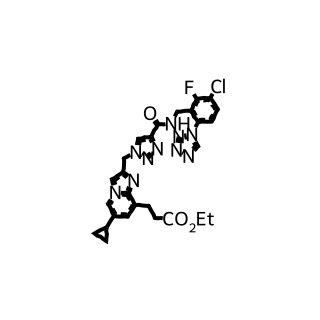 CCOC(=O)CCc1cc(C2CC2)cn2cc(Cn3cc(C(=O)NCc4c(-n5cnnn5)ccc(Cl)c4F)nn3)nc12